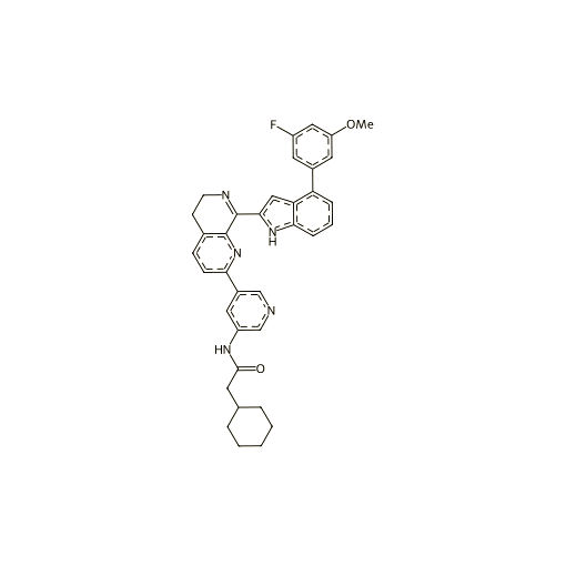 COc1cc(F)cc(-c2cccc3[nH]c(C4=NCCc5ccc(-c6cncc(NC(=O)CC7CCCCC7)c6)nc54)cc23)c1